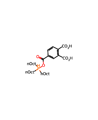 CCCCCCCC[PH](CCCCCCCC)(CCCCCCCC)OC(=O)c1ccc(C(=O)O)c(C(=O)O)c1